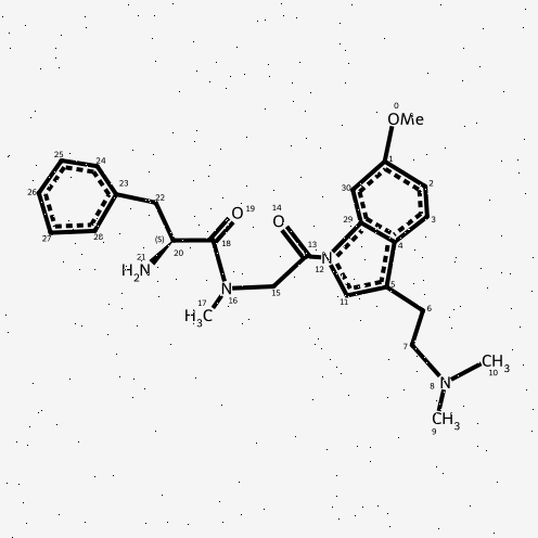 COc1ccc2c(CCN(C)C)cn(C(=O)CN(C)C(=O)[C@@H](N)Cc3ccccc3)c2c1